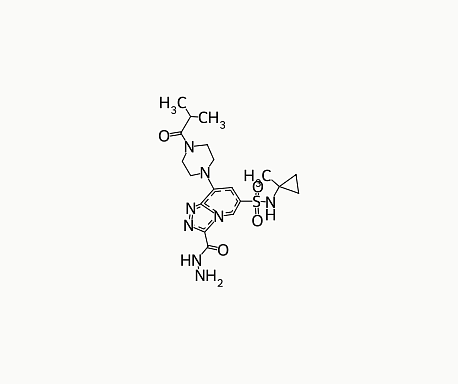 CC(C)C(=O)N1CCN(c2cc(S(=O)(=O)NC3(C)CC3)cn3c(C(=O)NN)nnc23)CC1